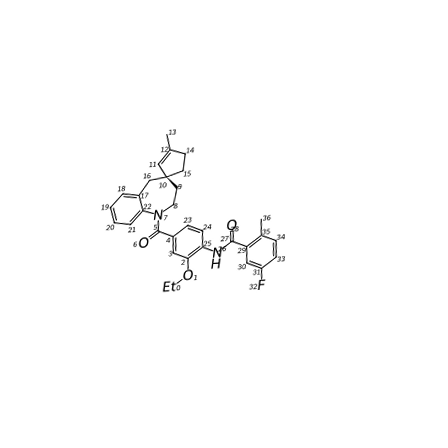 CCOc1cc(C(=O)N2CC[C@]3(C=C(C)CC3)Cc3ccccc32)ccc1NC(=O)c1cc(F)ccc1C